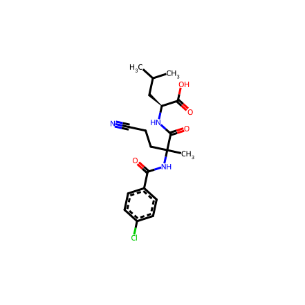 CC(C)C[C@H](NC(=O)C(C)(CCC#N)NC(=O)c1ccc(Cl)cc1)C(=O)O